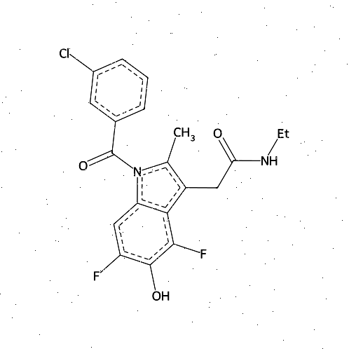 CCNC(=O)Cc1c(C)n(C(=O)c2cccc(Cl)c2)c2cc(F)c(O)c(F)c12